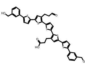 O=CCCc1cc(-c2ccc(-c3cccc(CO)c3)s2)sc1-c1ccc(-c2sc(-c3ccc(-c4cccc(CO)c4)s3)cc2CCC(=O)O)s1